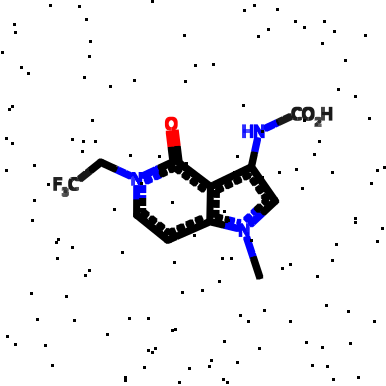 Cn1cc(NC(=O)O)c2c(=O)n(CC(F)(F)F)ccc21